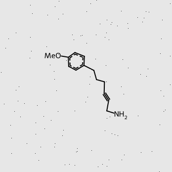 COc1ccc(CCCC#CCN)cc1